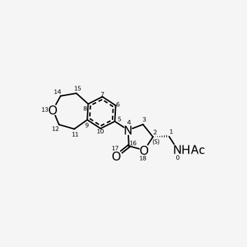 CC(=O)NC[C@H]1CN(c2ccc3c(c2)CCOCC3)C(=O)O1